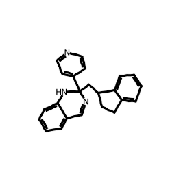 C1=NC(CC2CCc3ccccc32)(c2ccncc2)Nc2ccccc21